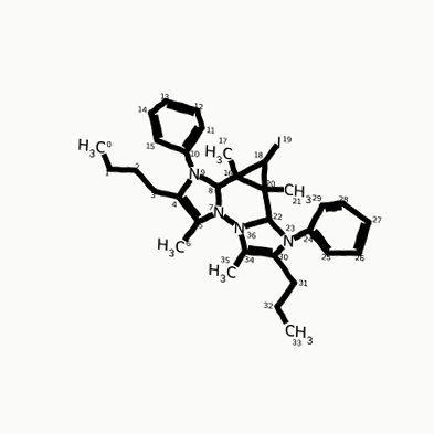 CCCCC1=C(C)N2C(N1c1ccccc1)C1(C)C(I)C1(C)C1N(c3ccccc3)C(CCC)=C(C)N12